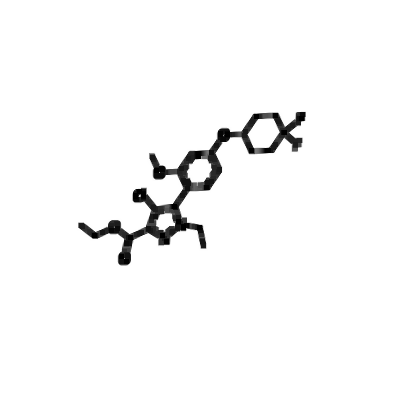 CCOC(=O)c1nn(CC)c(-c2ccc(OC3CCC(F)(F)CC3)cc2OC)c1Cl